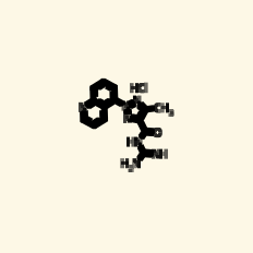 Cc1nn(-c2cccc3ncccc23)nc1C(=O)NC(=N)N.Cl